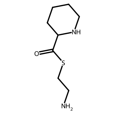 NCCSC(=O)C1CCCCN1